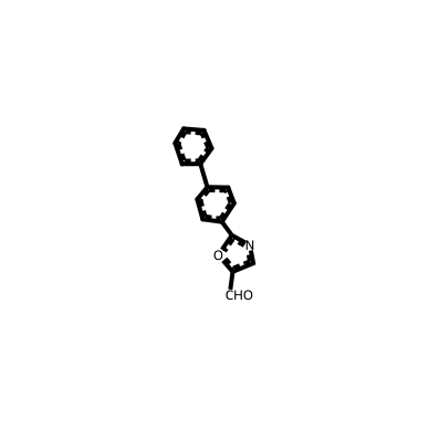 O=Cc1cnc(-c2ccc(-c3ccccc3)cc2)o1